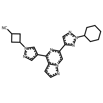 N#CC1CC(n2cc(-c3nc(-c4cnn(C5CCCCC5)n4)cn4nccc34)cn2)C1